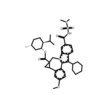 COc1ccc2c(c1)C1CC1(C(=O)O[C@@H]1C[C@H](C)CC[C@H]1C(C)C)Cn1c-2c(C2CCCCC2)c2ccc(C(=O)NS(=O)(=O)N(C)C)cc21